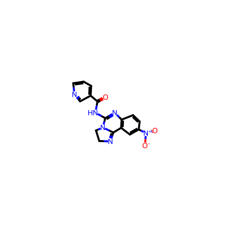 O=C(NC1=Nc2ccc([N+](=O)[O-])cc2C2=NCCN12)c1cccnc1